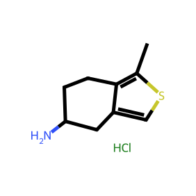 Cc1scc2c1CCC(N)C2.Cl